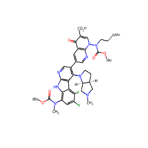 COCCN(C(=O)OC(C)(C)C)n1cc(C(=O)O)c(=O)c2cc(-c3cnc4[nH]c5c(N(C)C(=O)OC(C)(C)C)cc(F)c(F)c5c4c3N3CC[C@H]4CN(C)C[C@H]43)cnc21